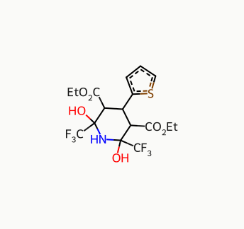 CCOC(=O)C1C(c2cccs2)C(C(=O)OCC)C(O)(C(F)(F)F)NC1(O)C(F)(F)F